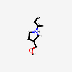 CCC(C)N1CCC(COC)C1